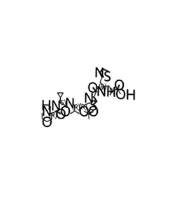 CC(=O)O[C@H](C[C@H](C(C)C)N(C)C(=O)[C@@H](NC(=O)[C@H]1COCCN1C)C1CC1)c1nc(C(=O)N[C@@H](Cc2nccs2)C[C@H](C)C(=O)O)cs1